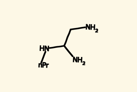 CCCNC(N)CN